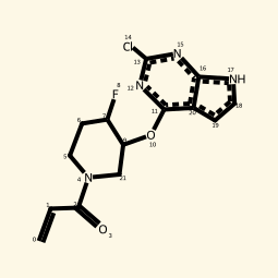 C=CC(=O)N1CCC(F)C(Oc2nc(Cl)nc3[nH]ccc23)C1